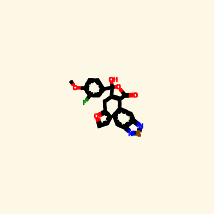 COc1ccc(C2(O)OC(=O)C(c3ccc4nsnc4c3)=C2Cc2ccco2)cc1F